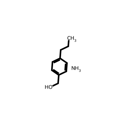 CCCc1ccc(CO)cc1.N